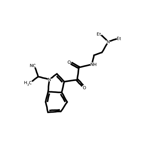 CCN(CC)CCNC(=O)C(=O)c1cn(C(C)C#N)c2ccccc12